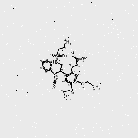 CCCS(=O)(=O)NCC(c1cc(OCC)c(OCC)cc1OCC(=O)O)N(C#N)c1ccccc1